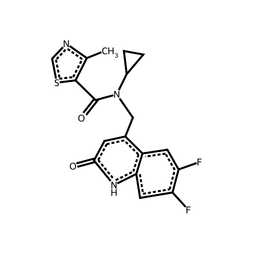 Cc1ncsc1C(=O)N(Cc1cc(=O)[nH]c2cc(F)c(F)cc12)C1CC1